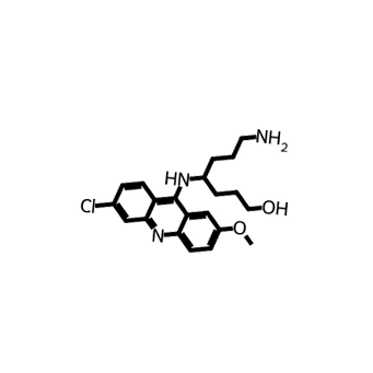 COc1ccc2nc3cc(Cl)ccc3c(NC(CCCN)CCCO)c2c1